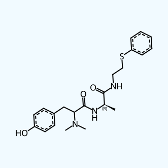 C[C@@H](NC(=O)C(Cc1ccc(O)cc1)N(C)C)C(=O)NCCSc1ccccc1